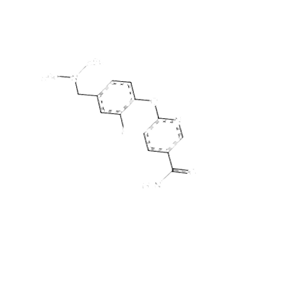 CCCCN(CCCC)Cc1ccc(Oc2ccc(C(N)=O)cn2)c(F)c1